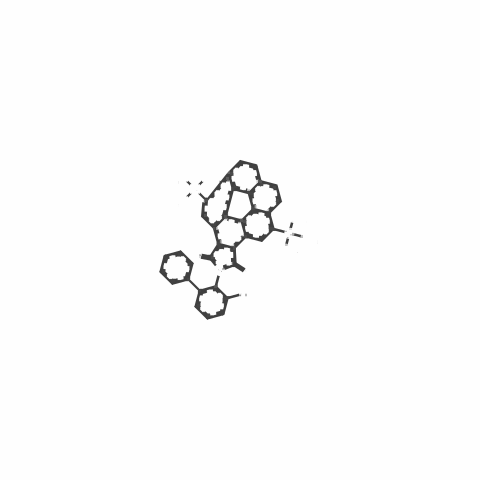 CCCc1cccc(-c2ccccc2)c1-n1c(=O)c2c3cc([Si](C)(C)C)c4ccc5ccc6c([Si](C)(C)C)cc(c2c1=O)c1c6c5c4c31